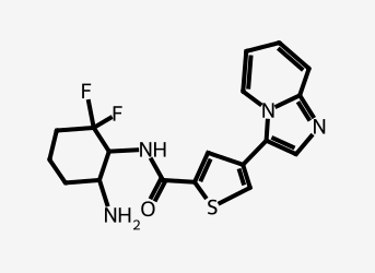 NC1CCCC(F)(F)C1NC(=O)c1cc(-c2cnc3ccccn23)cs1